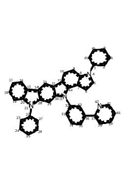 c1ccc(-n2ccc3c2ccc2c4cc5c6ccccc6n(-c6ccccc6)c5cc4n(-c4cccc(-c5ccccn5)c4)c23)cc1